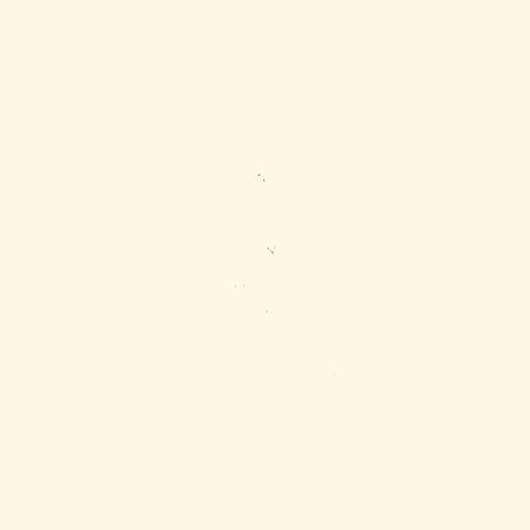 CC/C(C)=C\C(C)(C)ONc1ncc(C)s1